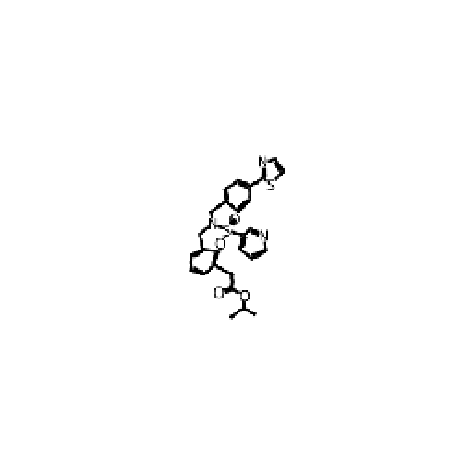 CC(C)OC(=O)Cc1cccc(CN(Cc2ccc(-c3nccs3)cc2)S(=O)(=O)c2cccnc2)c1